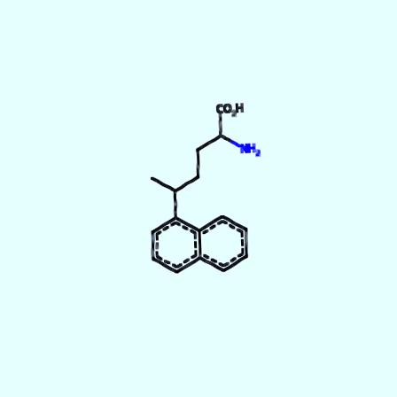 CC(CCC(N)C(=O)O)c1cccc2ccccc12